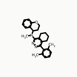 Cc1cccc(C)c1-c1nnc(N(C)C2CCOc3ccccc32)c2c1CCCC2